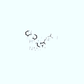 CNc1cc(Nc2cccn(-c3ncccc3F)c2=O)nc2c(C(=O)NCC(C)CO)cnn12